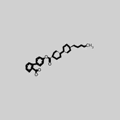 CCCCC[C@H]1CC[C@H]([C@H]2CC[C@@H](C(=O)Oc3ccc(-c4ccccc4C([O])=O)cc3)CC2)CC1